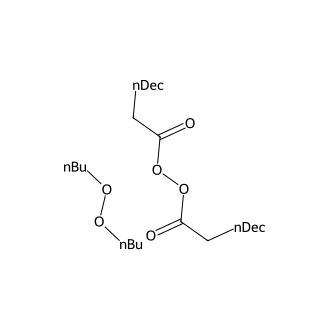 CCCCCCCCCCCC(=O)OOC(=O)CCCCCCCCCCC.CCCCOOCCCC